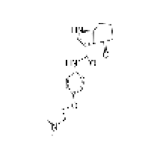 CN(C)CCOc1ccc(NC(=O)c2c[nH]c3c2C(=O)CCC3)cc1